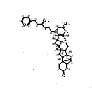 C[C@H]1C[C@H]2O[C@@]34CC[C@H]5[C@H]6CCC7=CC(=O)CC[C@]7(C)[C@H]6CC56CC63C[C@@H]4[C@@H]2N(CCNC(=O)CCc2ccccc2)C1